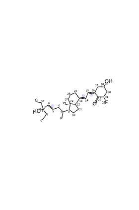 CCC(O)(/C=C/CC(C)C1CCC2/C(=C/C=C3/CC(O)CC(F)C3=O)CCCC21C)CC